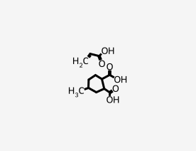 C=CC(=O)O.CC1CCC(C(=O)O)C(C(=O)O)C1